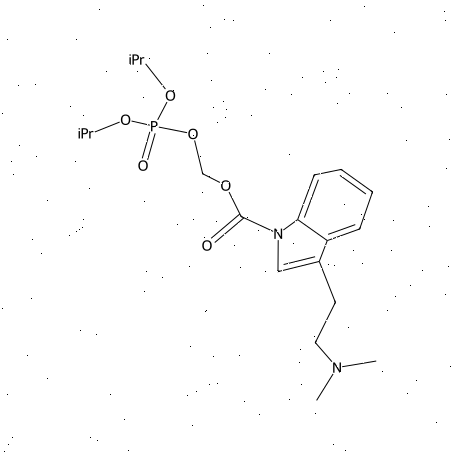 CC(C)OP(=O)(OCOC(=O)n1cc(CCN(C)C)c2ccccc21)OC(C)C